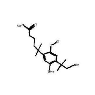 CCOc1cc(C(C)(C)CC(C)(C)C)c(OC)cc1C(C)(C)CCCC(=O)OC